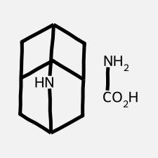 C1C2CC3CC1CC(C2)N3.NC(=O)O